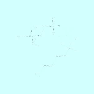 CCCCCCCCCCCCCC[Si](C)(C)O[Si](C)(C)O[Si](C)(C)CC[Si](OC)(OC)OC